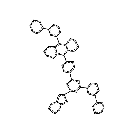 c1ccc(-c2cccc(-c3nc(-c4ccc(-c5c6ccccc6c(-c6cccc(-c7ccccc7)c6)c6ccccc56)cc4)nc(-c4cc5ccccc5o4)n3)c2)cc1